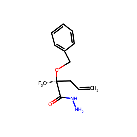 C=CC[C@](OCc1ccccc1)(C(=O)NN)C(F)(F)F